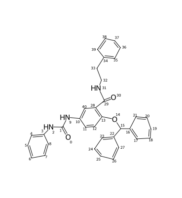 O=C(Nc1ccccc1)Nc1ccc(OC(c2ccccc2)c2ccccc2)c(C(=O)NCCc2ccccc2)c1